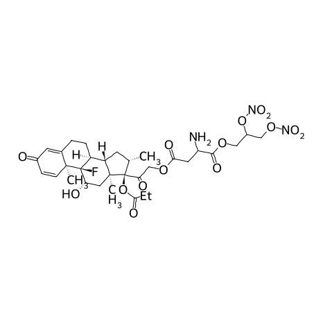 CCC(=O)O[C@]1(C(=O)COC(=O)CC(N)C(=O)OCC(CO[N+](=O)[O-])O[N+](=O)[O-])[C@@H](C)C[C@H]2[C@@H]3CCC4=CC(=O)C=C[C@]4(C)[C@@]3(F)[C@@H](O)C[C@@]21C